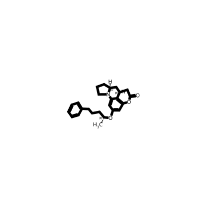 C[C@H](CCCc1ccccc1)Oc1cc2c3c(c1)N1CCC[C@H]1C[C@@H]3CC(=O)O2